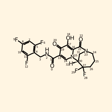 O=C(NCc1c(F)cc(F)cc1F)c1cn2c(c(O)c1=O)C(=O)N1CCCC(F)(F)[C@H]2C1